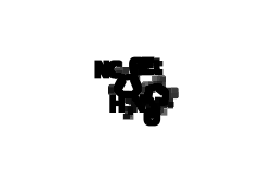 CCOc1ccccc1C#N.Nc1cccc[n+]1[O-]